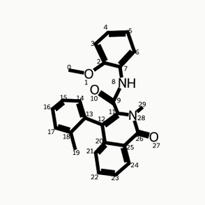 COc1ccccc1NC(=O)c1c(-c2ccccc2C)c2ccccc2c(=O)n1C